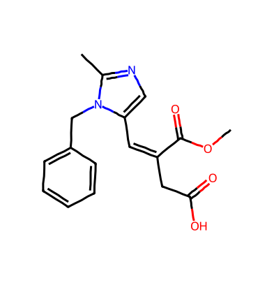 COC(=O)C(=Cc1cnc(C)n1Cc1ccccc1)CC(=O)O